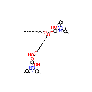 CCCCCCCCCCCCCOCC(COc1ccc(-c2nc(-c3ccc(C)cc3C)nc(-c3ccc(C)cc3C)n2)c(O)c1)OCCCCCCCCCCCCOCC(O)COc1ccc(-c2nc(-c3ccc(C)cc3C)nc(C3CC=C(C)C=C3C)n2)c(O)c1